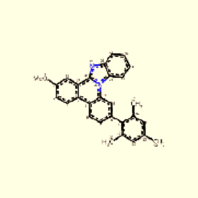 COc1ccc2c3ccc(-c4c(C)cc(C)cc4C)cc3n3c4ccccc4nc3c2c1